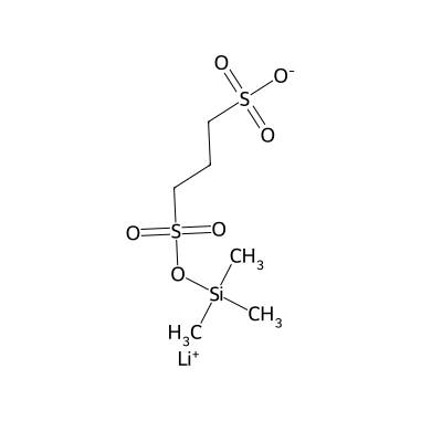 C[Si](C)(C)OS(=O)(=O)CCCS(=O)(=O)[O-].[Li+]